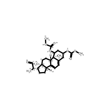 COC(=O)OC1CC2=CC=C3[C@@H]4CC[C@H](C(C)C=O)[C@@]4(C)CC[C@@H]3[C@@]2(C)C(OC(=O)OC)C1